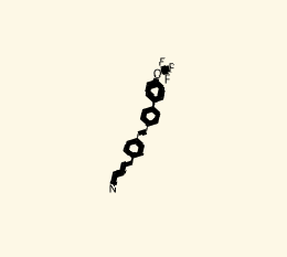 N#C/C=C/CC[C@H]1CC[C@H](CC[C@H]2CC[C@H](c3ccc(OC(F)(F)F)cc3)CC2)CC1